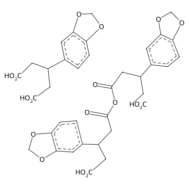 O=C(O)CC(CC(=O)O)c1ccc2c(c1)OCO2.O=C(O)CC(CC(=O)OC(=O)CC(CC(=O)O)c1ccc2c(c1)OCO2)c1ccc2c(c1)OCO2